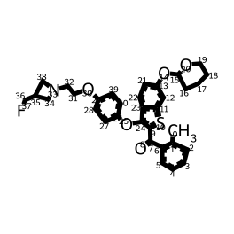 Cc1ccccc1C(=O)c1sc2cc(OC3CCCCO3)ccc2c1Oc1ccc(OCCN2CC(CF)C2)cc1